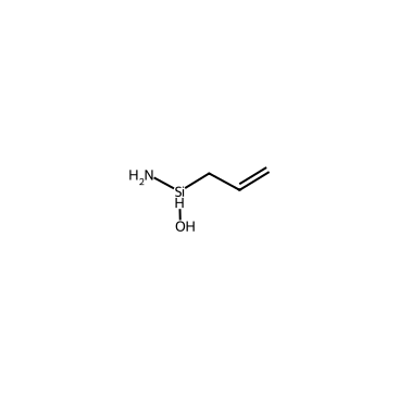 C=CC[SiH](N)O